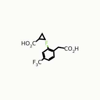 O=C(O)C1CC1.O=C(O)Cc1ccc(C(F)(F)F)cc1F